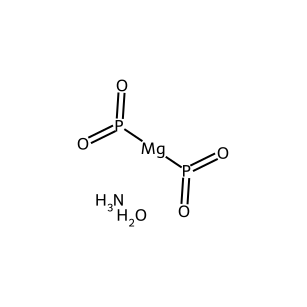 N.O.O=[P](=O)[Mg][P](=O)=O